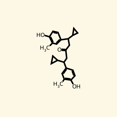 Cc1cc(C(CC(=O)CC(c2ccc(O)c(C)c2)C2CC2)C2CC2)ccc1O